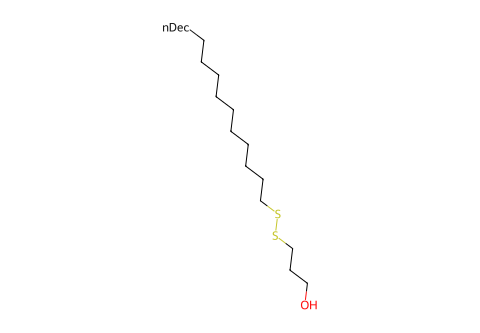 CCCCCCCCCCCCCCCCCCCCSSCCCO